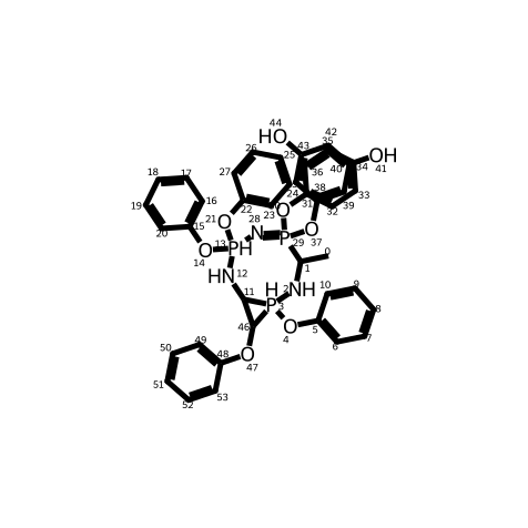 CC1N[PH]2(Oc3ccccc3)C(N[PH](Oc3ccccc3)(Oc3ccccc3)N=P1(Oc1ccccc1)Oc1cc(O)cc(O)c1)C2Oc1ccccc1